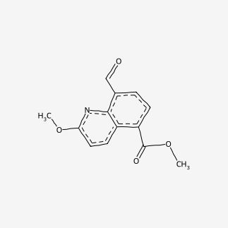 COC(=O)c1ccc(C=O)c2nc(OC)ccc12